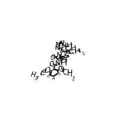 COc1cccc(OC)c1C(=O)NC1C(=O)N2C(c3nnn[nH]3)C(C)(C)S[C@H]12